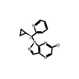 Clc1cnc2cnn([C@H](c3ccccn3)C3CC3)c2n1